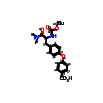 CN(C)C(=O)[C@H](Cc1ccc(Oc2ccc(C(=O)O)cc2)cc1)NC(=O)OC(C)(C)C